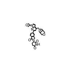 O=C1CCC(N2Cc3cc(-c4cc(CN5CC6COCC(C6)C5)c5ccn(C6COC6)c5n4)ccc3C2=O)C(=O)N1